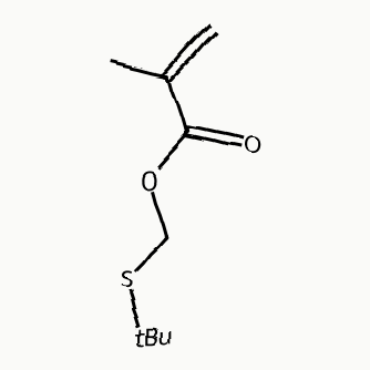 C=C(C)C(=O)OCSC(C)(C)C